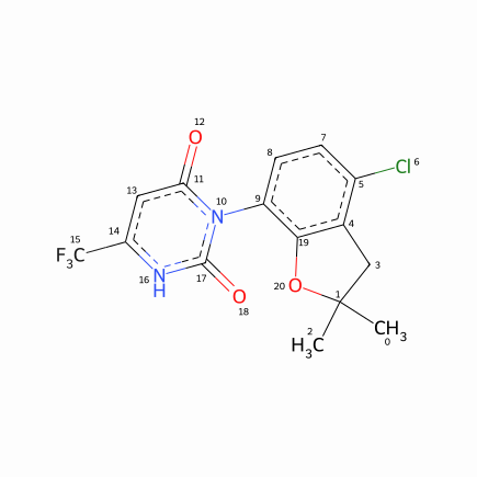 CC1(C)Cc2c(Cl)ccc(-n3c(=O)cc(C(F)(F)F)[nH]c3=O)c2O1